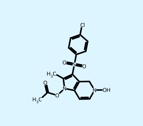 CC(=O)On1c(C)c(S(=O)(=O)c2ccc(Cl)cc2)c2c1C=CN(O)C2